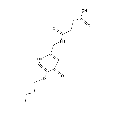 CCCCOc1c[nH]c(CNC(=O)CCC(=O)O)cc1=O